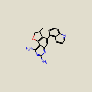 CC1COc2c1c(-c1cccc3ncccc13)cc1nc(N)nc(N)c21